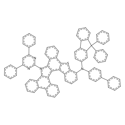 c1ccc(-c2ccc(N(c3ccc4c(c3)C(c3ccccc3)(c3ccccc3)c3ccccc3-4)c3cccc4c3sc3c5ccccc5c5c(c43)c3c4ccccc4c4ccccc4c3n5-c3nc(-c4ccccc4)cc(-c4ccccc4)n3)cc2)cc1